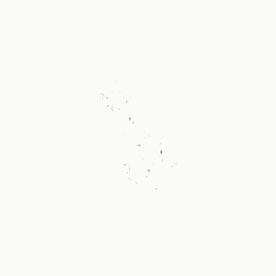 FC(F)(F)c1cc(C(F)(F)F)c2c(Br)cc3c(c2n1)CN(c1nnco1)C3